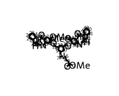 COC(=O)CCCN(C)c1cc(COc2cc3c(cc2OC)C(=O)N2c4ccccc4C[C@H]2C=N3)cc(COc2cc3c(cc2OC)C(=O)N2c4ccccc4C[C@H]2C=N3)c1